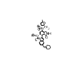 Cc1cc(S(=O)(=O)Oc2ccc(-c3cc4cc(CN5CCCCC5)ccc4n3C(=O)OC(C)(C)C)c3c2CNC3=O)c(C(F)(F)F)o1